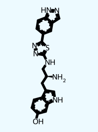 N[C@H](CNc1nnc(-c2ccc3[nH]ncc3c2)s1)Cc1c[nH]c2cc(O)ccc12